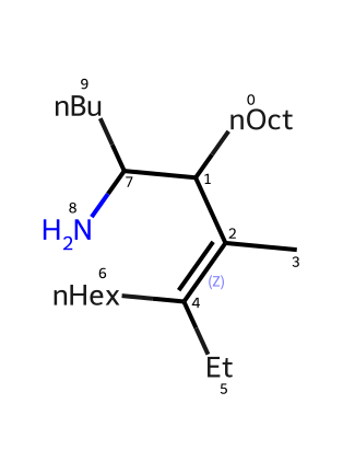 CCCCCCCCC(/C(C)=C(/CC)CCCCCC)C(N)CCCC